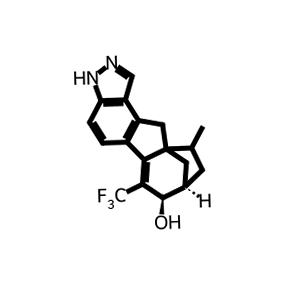 CC1C[C@@H]2CC13Cc1c(ccc4[nH]ncc14)C3=C(C(F)(F)F)[C@@H]2O